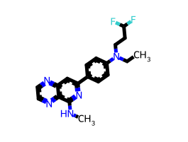 CCN(CCC(F)F)c1ccc(-c2cc3nccnc3c(NC)n2)cc1